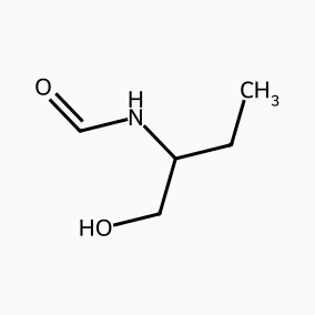 CCC(CO)NC=O